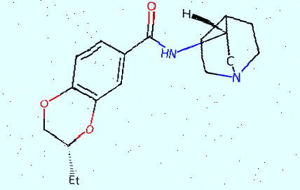 CC[C@@H]1COc2ccc(C(=O)N[C@H]3CN4CCC3CC4)cc2O1